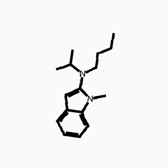 CCCCN(c1cc2ccccc2n1C)C(C)C